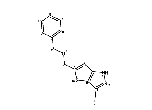 Ic1n[nH]c2cc(COCc3ccccc3)sc12